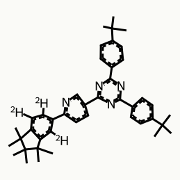 [2H]c1c([2H])c2c(c([2H])c1-c1ccc(-c3nc(-c4ccc(C(C)(C)C)cc4)nc(-c4ccc(C(C)(C)C)cc4)n3)cn1)C(C)(C)C(C)(C)C2(C)C